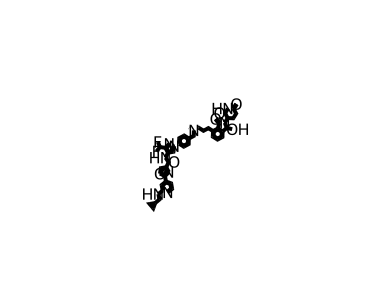 CN(CCCc1cccc2c1C(=O)N(C1CCC(=O)NC1=O)C2O)Cc1ccc(-n2cc(NC(=O)c3coc(-c4ccnc(NCC5CC5)c4)n3)c(C(F)F)n2)cc1